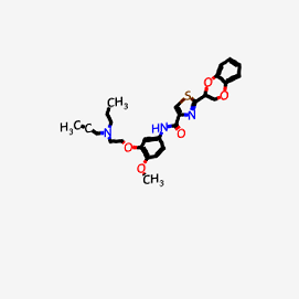 CCCN(CCC)CCOc1cc(NC(=O)c2csc(C3COc4ccccc4O3)n2)ccc1OC